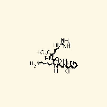 N=C(N)NCCC[C@H](NC(=O)[C@H](CCCCN)NC(=O)CNC(=O)[C@@H]1CCCN1)C(=O)O